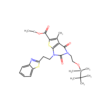 CCOC(=O)c1sc2c(c1C)c(=O)n(CCO[Si](C)(C)C(C)(C)C)c(=O)n2CCc1nc2ccccc2s1